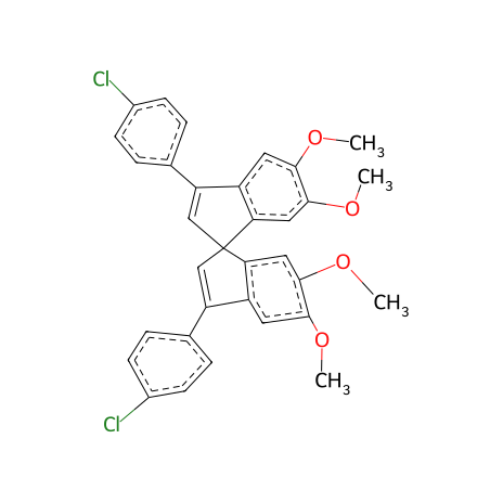 COc1cc2c(cc1OC)C1(C=C2c2ccc(Cl)cc2)C=C(c2ccc(Cl)cc2)c2cc(OC)c(OC)cc21